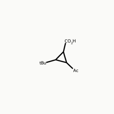 CC(=O)C1C(C(=O)O)C1C(C)(C)C